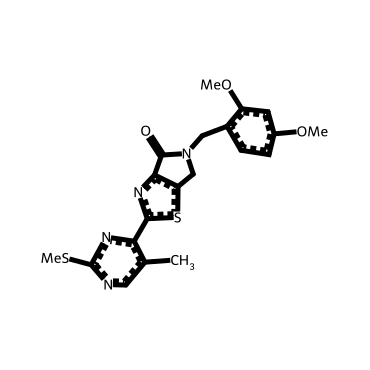 COc1ccc(CN2Cc3sc(-c4nc(SC)ncc4C)nc3C2=O)c(OC)c1